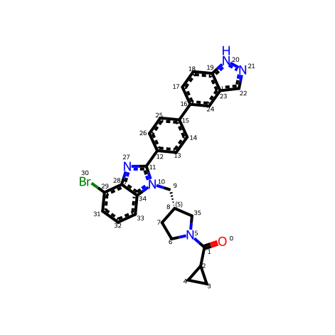 O=C(C1CC1)N1CC[C@H](Cn2c(-c3ccc(-c4ccc5[nH]ncc5c4)cc3)nc3c(Br)cccc32)C1